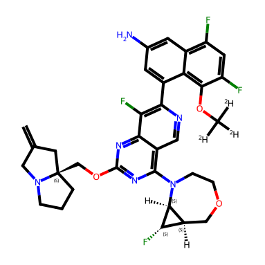 [2H]C([2H])([2H])Oc1c(F)cc(F)c2cc(N)cc(-c3ncc4c(N5CCOC[C@H]6[C@H](F)[C@H]65)nc(OC[C@@]56CCCN5CC(=C)C6)nc4c3F)c12